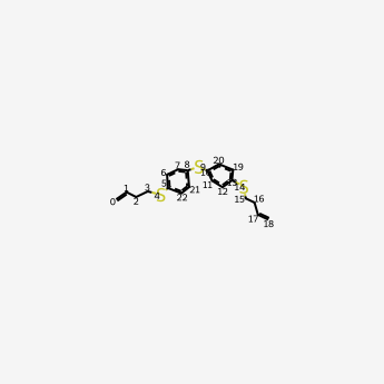 C=CCCSc1ccc(Sc2ccc(SCCC=C)cc2)cc1